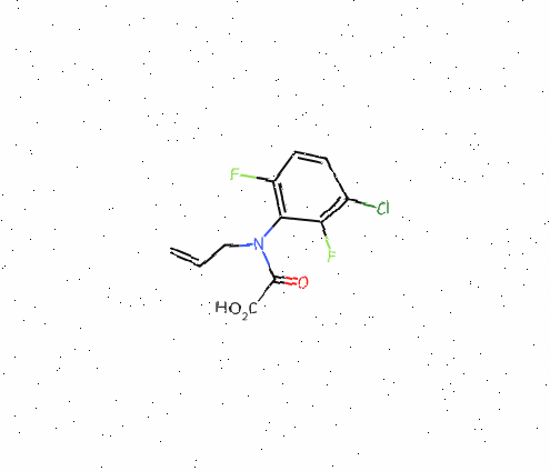 C=CCN(C(=O)C(=O)O)c1c(F)ccc(Cl)c1F